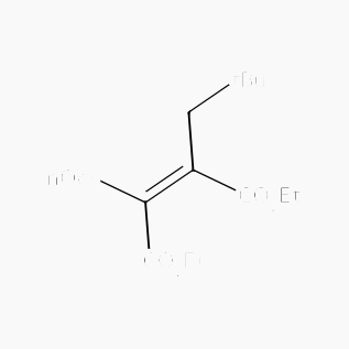 CCCCCCCC/C(C(=O)OCC)=C(\CC(C)(C)C)C(=O)OCC